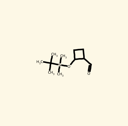 CC(C)(C)[Si](C)(C)OC1CCC1C=O